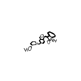 O=C1Nc2ccccc2C1=C1OCc2cc(CN3CCCC(O)C3)ccc21